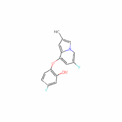 N#Cc1cc2c(Oc3ccc(F)cc3O)cc(F)cn2c1